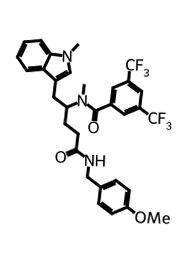 COc1ccc(CNC(=O)CCC(Cc2cn(C)c3ccccc23)N(C)C(=O)c2cc(C(F)(F)F)cc(C(F)(F)F)c2)cc1